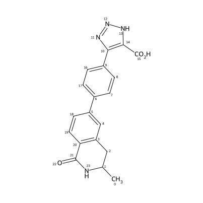 CC1Cc2cc(-c3ccc(-c4nn[nH]c4C(=O)O)cc3)ccc2C(=O)N1